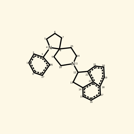 c1ccc(N2CCCC23CCN(C2Cc4cccc5cccc2c45)CC3)cc1